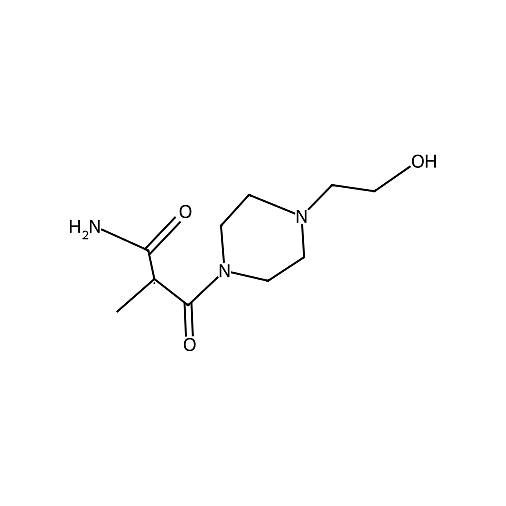 C[C](C(N)=O)C(=O)N1CCN(CCO)CC1